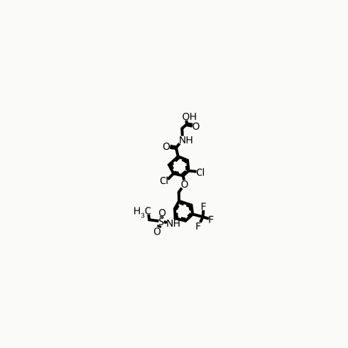 CCS(=O)(=O)Nc1cc(COc2c(Cl)cc(C(=O)NCC(=O)O)cc2Cl)cc(C(F)(F)F)c1